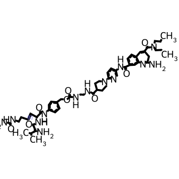 CCCN(CCC)C(=O)C1=Cc2ccc(C(=O)Nc3ccc(N4CCC(C(=O)NCCNC(=O)OCc5ccc(NC(=O)C(/C=C/CCNC(N)=O)NC(=O)[C@@H](N)C(C)C)cc5)CC4)nc3)cc2N=C(N)C1